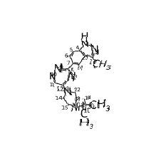 Cc1n[nH]c2ccc(-c3nncc(N4CCN[C@@H](CC(C)C)C4)n3)cc12